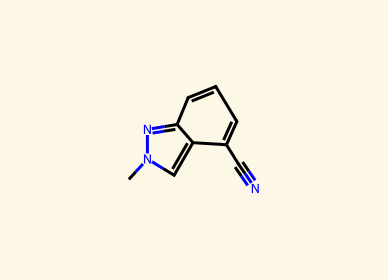 Cn1cc2c(C#N)cccc2n1